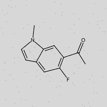 CC(=O)c1cc2c(ccn2C)cc1F